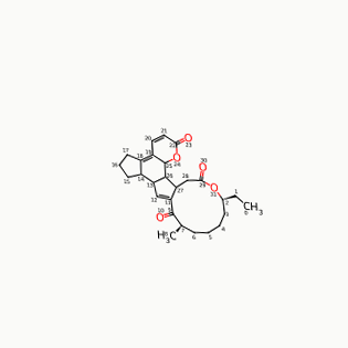 CC[C@H]1CCCC[C@@H](C)C(=O)C2=CC3C4CCCC4=C4C=CC(=O)OC4C3C2CC(=O)O1